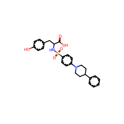 O=C(O)C(Cc1ccc(O)cc1)NS(=O)(=O)c1ccc(N2CCC(c3ccccc3)CC2)cc1